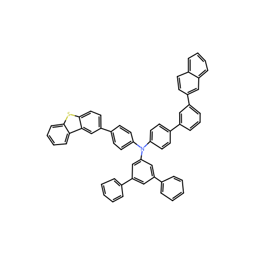 c1ccc(-c2cc(-c3ccccc3)cc(N(c3ccc(-c4cccc(-c5ccc6ccccc6c5)c4)cc3)c3ccc(-c4ccc5sc6ccccc6c5c4)cc3)c2)cc1